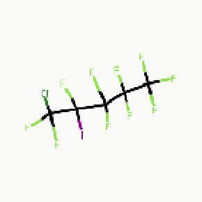 FC(F)(F)C(F)(F)C(F)(F)C(F)(I)C(F)(F)Cl